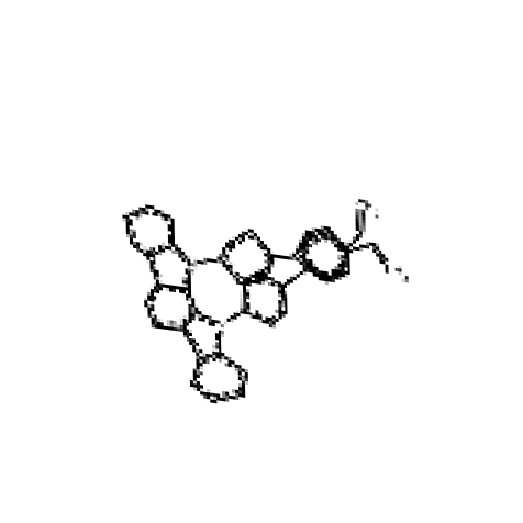 C=Cc1ccc(-c2ccc(-n3c4ccccc4c4ccc5c6ccccc6n(-c6ccc(-c7ccc(C=C)cc7)cc6)c5c43)cc2)cc1